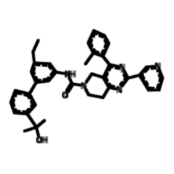 CCc1cc(NC(=O)N2CCc3nc(-c4cccnc4)nc(-c4ccccc4C)c3C2)cc(-c2cccc(C(C)(C)O)c2)c1